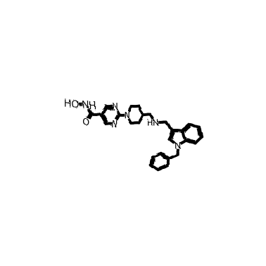 O=C(NO)c1cnc(N2CCC(CNCc3cn(Cc4ccccc4)c4ccccc34)CC2)nc1